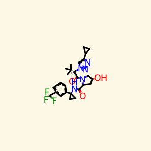 CC(C)(C)[C@@H](C(=O)N1CC(O)CC1C(=O)NC1(c2cccc(C(F)(F)F)c2)CC1)n1cc(C2CC2)nn1